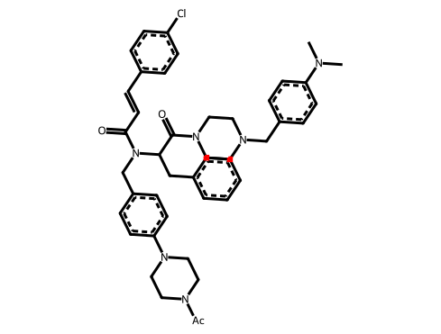 CC(=O)N1CCN(c2ccc(CN(C(=O)C=Cc3ccc(Cl)cc3)C(Cc3ccccc3)C(=O)N3CCN(Cc4ccc(N(C)C)cc4)CC3)cc2)CC1